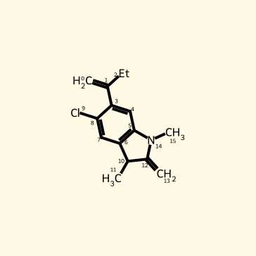 C=C(CC)c1cc2c(cc1Cl)C(C)C(=C)N2C